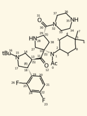 CC(=O)N(C1CCC(C)(C)CC1)[C@]1(C(=O)[C@@H]2CN(C(C)(C)C)C[C@H]2c2ccc(F)cc2F)CN[C@H](C(=O)N2CCNCC2)C1